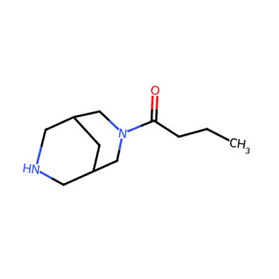 CCCC(=O)N1CC2CNCC(C2)C1